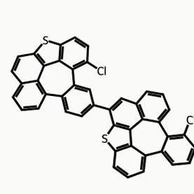 Clc1cccc2c1-c1cccc3cc(-c4ccc5c(c4)-c4c(Cl)ccc6sc7ccc8cccc-5c8c7c46)c4sc5cccc-2c5c4c13